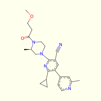 COCCC(=O)N1CCN(c2nc(C3CC3)c(-c3ccnc(C)c3)cc2C#N)C[C@H]1C